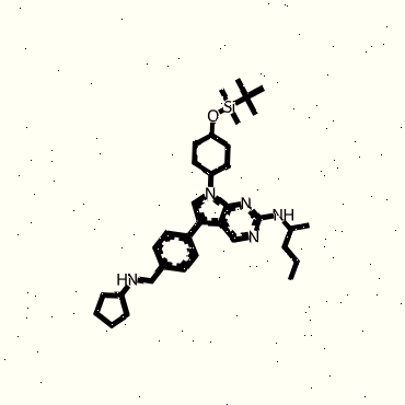 CCCC(C)Nc1ncc2c(-c3ccc(CNC4CCCC4)cc3)cn(C3CCC(O[Si](C)(C)C(C)(C)C)CC3)c2n1